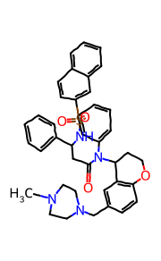 CN1CCN(Cc2ccc3c(c2)C(N(C(=O)CC(NS(=O)(=O)c2ccc4ccccc4c2)c2ccccc2)c2ccccc2)CCO3)CC1